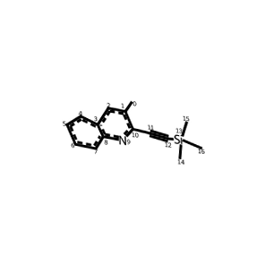 Cc1cc2ccccc2nc1C#C[Si](C)(C)C